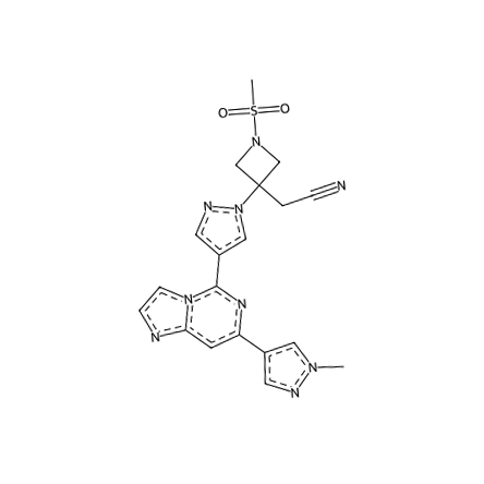 Cn1cc(-c2cc3nccn3c(-c3cnn(C4(CC#N)CN(S(C)(=O)=O)C4)c3)n2)cn1